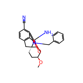 CO[C@H]1CC[C@]2(CC1)Cc1ccc(C#N)cc1C21N=C(N)N(Cc2ccccc2)C1=O